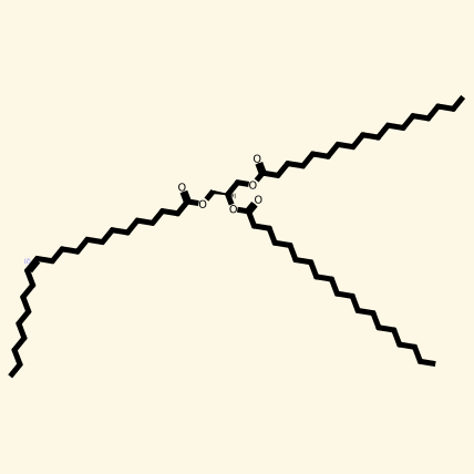 CCCCCCCC/C=C\CCCCCCCCCCCC(=O)OC[C@@H](COC(=O)CCCCCCCCCCCCCCCC)OC(=O)CCCCCCCCCCCCCCCCCC